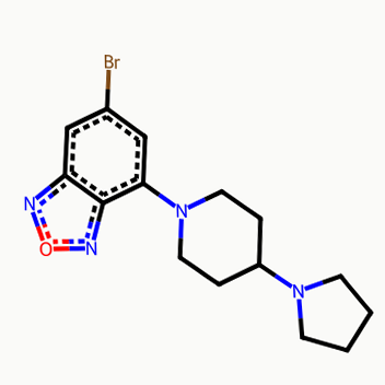 Brc1cc(N2CCC(N3CCCC3)CC2)c2nonc2c1